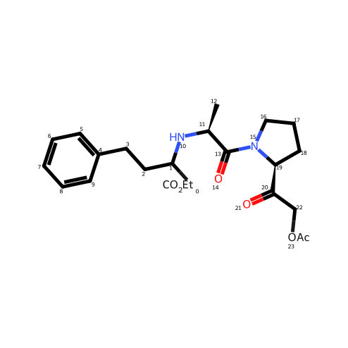 CCOC(=O)C(CCc1ccccc1)N[C@@H](C)C(=O)N1CCC[C@H]1C(=O)COC(C)=O